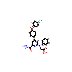 NC(=O)c1cc(-c2ccc(Oc3ccc(F)cc3)cc2)cc(N(CC(=O)O)c2ccccc2)n1